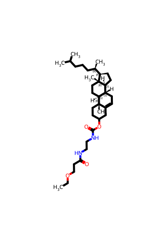 CCOCCC(=O)NCCNC(=O)OC1CC[C@@]2(C)C(=CC[C@H]3[C@@H]4CC[C@H]([C@H](C)CCCC(C)C)[C@@]4(C)CC[C@@H]32)C1